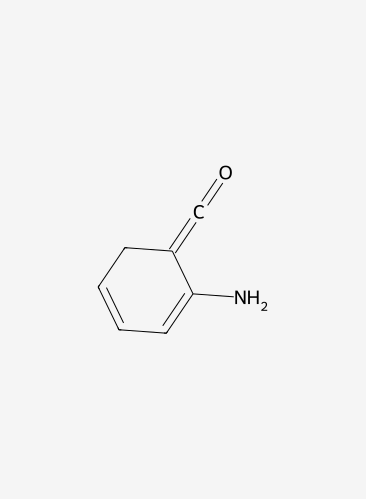 NC1=CC=CCC1=C=O